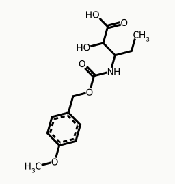 CCC(NC(=O)OCc1ccc(OC)cc1)C(O)C(=O)O